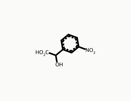 O=C(O)C(O)c1cccc([N+](=O)[O-])c1